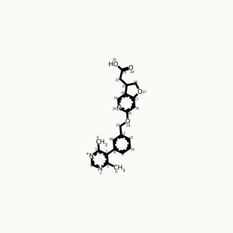 Cc1ncnc(C)c1-c1cccc(COc2cc3c(cn2)C(CC(=O)O)CO3)c1